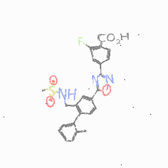 Cc1ccccc1-c1ccc(-c2nc(-c3ccc(C(=O)O)c(F)c3)no2)cc1CNS(C)(=O)=O